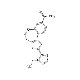 NC(=O)c1ccc2c(c1)OCCC1=C2CN(c2ncnn2CC(F)(F)F)S1